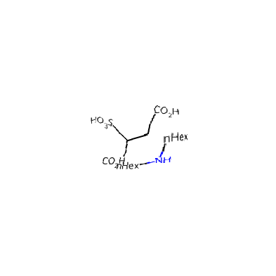 CCCCCCNCCCCCC.O=C(O)CC(C(=O)O)S(=O)(=O)O